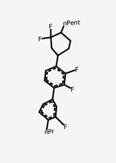 CCCCCC1CCC(c2ccc(-c3ccc(CCC)c(F)c3)c(F)c2F)CC1(F)F